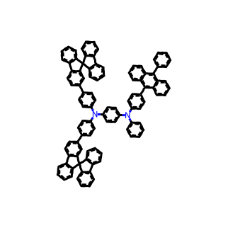 c1ccc(-c2c3ccccc3c(-c3ccc(N(c4ccccc4)c4ccc(N(c5ccc(-c6ccc7c(c6)C6(c8ccccc8-c8ccccc86)c6ccccc6-7)cc5)c5ccc(-c6ccc7c(c6)C6(c8ccccc8-c8ccccc86)c6ccccc6-7)cc5)cc4)cc3)c3ccccc23)cc1